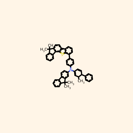 CC1C=C(N(c2ccc(-c3cccc4c3sc3c5c(ccc34)C(C)(C)c3ccccc3-5)cc2)c2ccc3c(c2)C(C)(C)c2ccccc2-3)C=CC1c1ccccc1